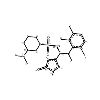 Cc1ccc(F)c(C(C)[C@H](NS(=O)(=O)N2CCCC(N(C)C)C2)c2n[nH]c(=O)o2)c1C